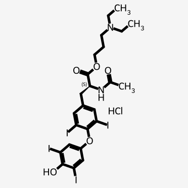 CCN(CC)CCCOC(=O)[C@H](Cc1cc(I)c(Oc2cc(I)c(O)c(I)c2)c(I)c1)NC(C)=O.Cl